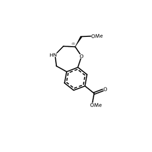 COC[C@@H]1CNCc2ccc(C(=O)OC)cc2O1